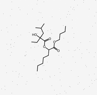 CCCCCC(OC(=O)C(O)(CC)CC(C)C)C(=O)OCCCC